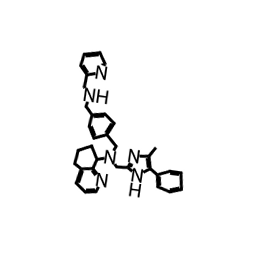 Cc1nc(CN(Cc2ccc(CNCc3ccccn3)cc2)C2CCCc3cccnc32)[nH]c1-c1ccccc1